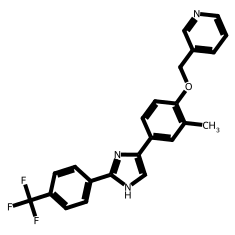 Cc1cc(-c2c[nH]c(-c3ccc(C(F)(F)F)cc3)n2)ccc1OCc1cccnc1